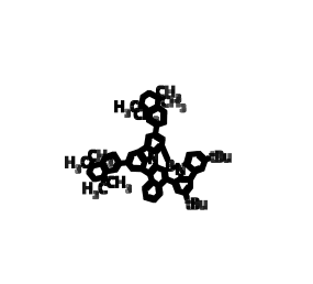 CC(C)(C)c1ccc2c(c1)c1cc(C(C)(C)C)cc3c1n2B1c2cc(-c4ccc5c(c4)C(C)(C)CCC5(C)C)cc4c5cc(-c6ccc7c(c6)C(C)(C)CCC7(C)C)cc6c7c8ccccc8c-3c1c7n(c24)c56